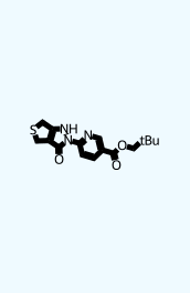 CC(C)(C)COC(=O)c1ccc(-n2[nH]c3c(c2=O)CSC3)nc1